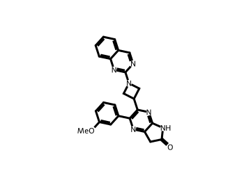 COc1cccc(-c2nc3c(nc2C2CN(c4ncc5ccccc5n4)C2)NC(=O)C3)c1